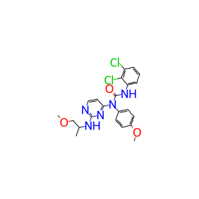 COCC(C)Nc1nccc(N(C(=O)Nc2cccc(Cl)c2Cl)c2ccc(OC)cc2)n1